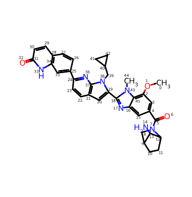 COc1cc(C(=O)N2CC3CCC2C3N)cc2nc(-c3cc4ccc(-c5ccc6ccc(=O)[nH]c6c5)nc4n3CC3CC3)n(C)c12